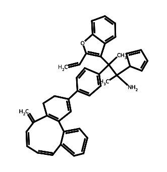 C=Cc1oc2ccccc2c1C(C)(c1ccc(C2=CC3=C(CC2)C(=C)/C=C\C=Cc2ccccc23)cc1)C(C)(N)C1C=CC=C1